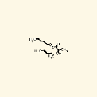 CC=CCC.CCCCCOOC(=O)C(C)O